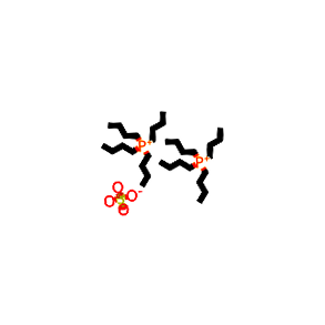 CCCC[P+](CCCC)(CCCC)CCCC.CCCC[P+](CCCC)(CCCC)CCCC.O=S(=O)([O-])[O-]